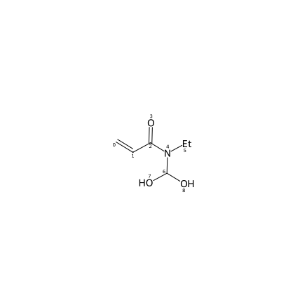 C=CC(=O)N(CC)C(O)O